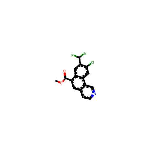 COC(=O)c1cc2ccncc2c2cc(Cl)c(C(Br)Br)cc12